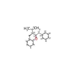 CC(C)[C@H](Cc1ccccc1)C(=O)Cc1ccccc1